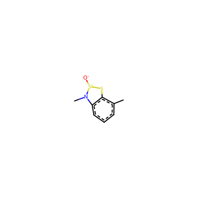 Cc1cccc2c1S[S+]([O-])N2C